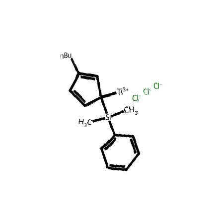 CCCCC1=C[C]([Ti+3])([Si](C)(C)c2ccccc2)C=C1.[Cl-].[Cl-].[Cl-]